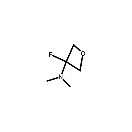 CN(C)C1(F)COC1